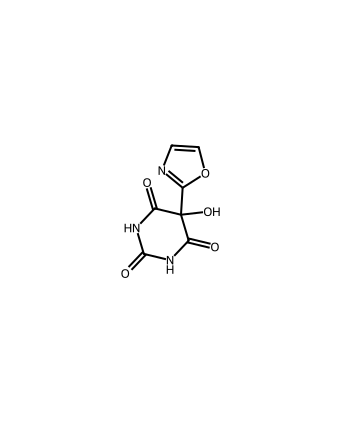 O=C1NC(=O)C(O)(c2ncco2)C(=O)N1